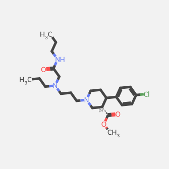 CCCNC(=O)CN(CCC)CCCN1CCC(c2ccc(Cl)cc2)[C@H](C(=O)OC)C1